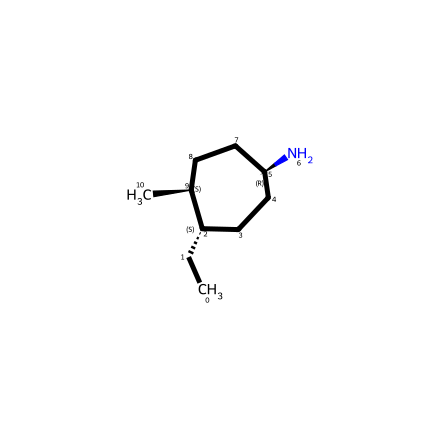 CC[C@H]1CC[C@H](N)CC[C@@H]1C